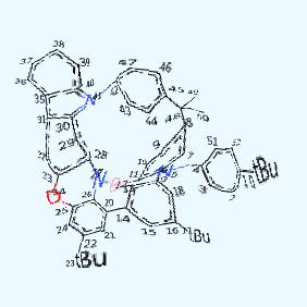 CC(C)(C)c1ccc(N2c3cc4ccc3B3c5c(cc(C(C)(C)C)cc52)-c2cc(C(C)(C)C)cc5c2N3c2cc3c(cc2O5)c2ccccc2n3-c2ccc(cc2)C4(C)C)cc1